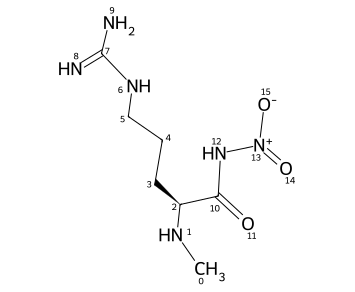 CN[C@@H](CCCNC(=N)N)C(=O)N[N+](=O)[O-]